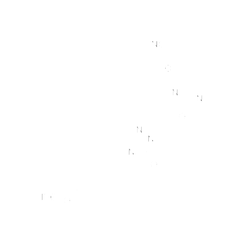 N#CCOc1ccnc(OCCn2nc3ccc(-c4ccc(OC(F)(F)F)cc4)cn3c2=O)n1